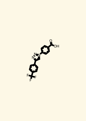 O=C(O)c1ccc(-n2cc(-c3ccc(C(F)(F)F)cc3)nn2)cc1